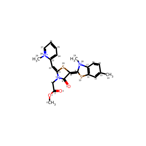 COC(=O)Cn1c(=O)/c(=C2\Sc3cc(C)ccc3N2C)s/c1=C\c1cccc[n+]1C